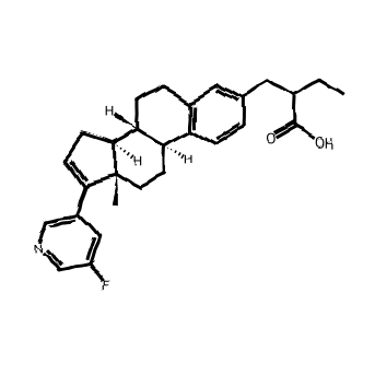 CCC(Cc1ccc2c(c1)CC[C@@H]1[C@@H]2CC[C@]2(C)C(c3cncc(F)c3)=CC[C@@H]12)C(=O)O